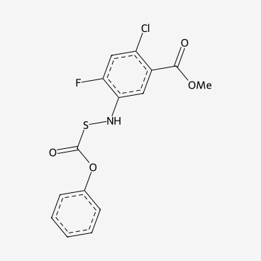 COC(=O)c1cc(NSC(=O)Oc2ccccc2)c(F)cc1Cl